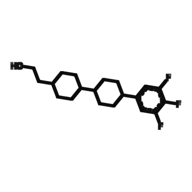 OCCC1CCC(C2CCC(c3cc(F)c(F)c(F)c3)CC2)CC1